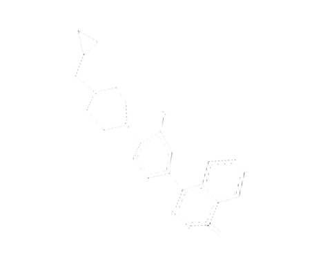 Nc1cc(-c2n[nH]c(=O)c3ccccc23)ccc1N1CCN(CC2CC2)CC1